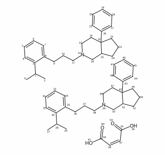 CC(C)c1ccccc1CCCN1CCC2(c3ccccc3)CCCC2C1.CC(C)c1ccccc1CCCN1CCC2(c3ccccc3)CCCC2C1.O=C(O)/C=C\C(=O)O